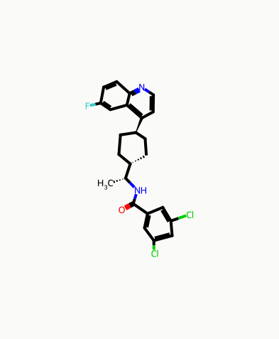 C[C@@H](NC(=O)c1cc(Cl)cc(Cl)c1)[C@H]1CC[C@H](c2ccnc3ccc(F)cc32)CC1